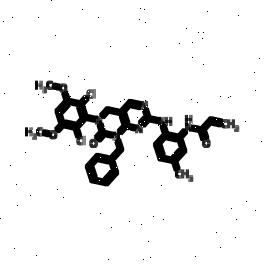 C=CC(=O)Nc1cc(C)ccc1Nc1ncc2c(n1)N(Cc1ccccc1)C(=O)N(c1c(Cl)c(OC)cc(OC)c1Cl)C2